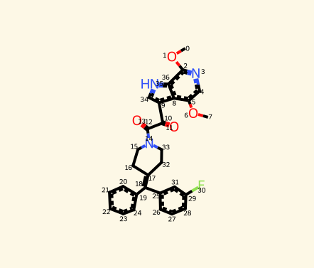 COc1ncc(OC)c2c(C(=O)C(=O)N3CCC(=C(c4ccccc4)c4cccc(F)c4)CC3)c[nH]c12